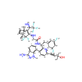 Cn1nc(N)c2cccc(-c3ccc(C#CC(C)(C)O)nc3[C@H](CC3=CC(F)=CC(F)C3)NC(=O)CNC3=C(C(=N)C(F)(F)F)[C@H]4C#C[C@H]4C3(F)F)c21